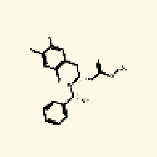 C[C@@H](N[C@@H](CC(=O)OC(C)(C)C)Cc1cc(F)c(F)cc1F)c1ccccc1